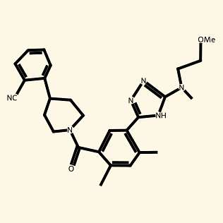 COCCN(C)c1nnc(-c2cc(C(=O)N3CCC(c4ccccc4C#N)CC3)c(C)cc2C)[nH]1